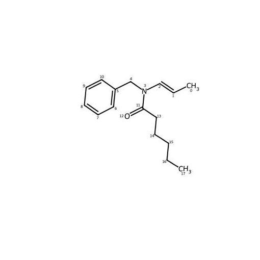 CC=CN(Cc1ccccc1)C(=O)CCCCC